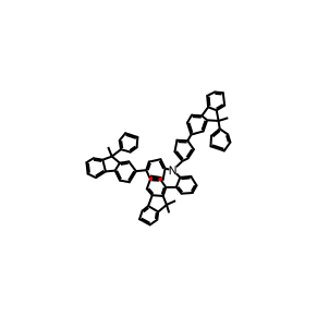 CC1(C)c2ccccc2-c2cccc(-c3ccccc3N(c3ccc(-c4ccc5c(c4)C(C)(c4ccccc4)c4ccccc4-5)cc3)c3ccc(-c4ccc5c(c4)C(C)(c4ccccc4)c4ccccc4-5)cc3)c21